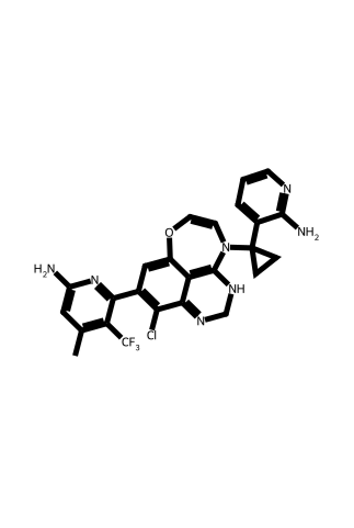 Cc1cc(N)nc(-c2cc3c4c(c2Cl)=NCNC=4N(C2(c4cccnc4N)CC2)C=CO3)c1C(F)(F)F